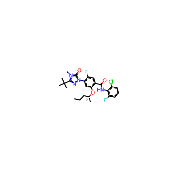 CCC[C@H](C)Oc1cc(-n2nc(C(C)(C)C)n(C)c2=O)c(F)cc1C(=O)Nc1c(F)cccc1Cl